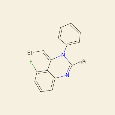 CC/C=C1\c2c(F)cccc2N=C(CCC)N1c1ccccc1